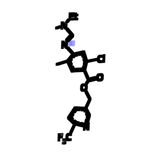 CCN(C)/C=N/c1cc(Cl)c(C(=O)OCc2ccc(C(F)(F)F)nc2)cc1C